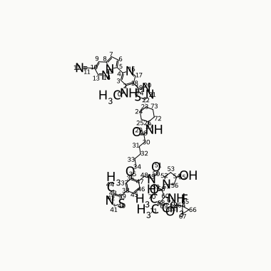 CNc1cc(-c2ccc3cc(C#N)cnn23)ncc1-c1nnc([C@H]2CC[C@H](NC(=O)CCCCCOc3cc(-c4scnc4C)ccc3CNC(=O)[C@@H]3C[C@@H](O)CN3C(=O)[C@@H](NC(=O)C3(F)CC3)C(C)(C)C)CC2)s1